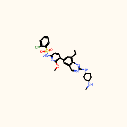 CCc1cc(-c2ccc(NS(=O)(=O)c3ccccc3Cl)nc2OC)cc2cnc(N[C@H]3CC[C@H](NC)CC3)nc12